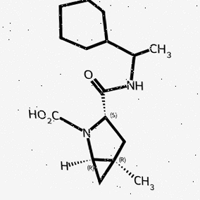 CC(NC(=O)[C@@H]1C[C@@]2(C)C[C@H]2N1C(=O)O)C1CCCCC1